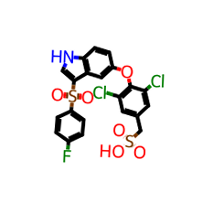 O=S(=O)(O)Cc1cc(Cl)c(Oc2ccc3[nH]cc(S(=O)(=O)c4ccc(F)cc4)c3c2)c(Cl)c1